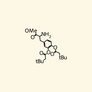 COC(=O)C(N)Cc1ccc(OC(=O)CC(C)(C)C)c(OC(=O)CC(C)(C)C)c1